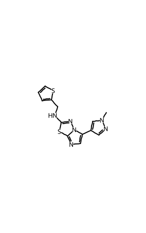 Cn1cc(-c2cnc3sc(NCc4cccs4)nn23)cn1